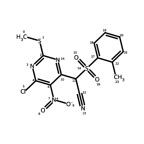 CSc1nc(Cl)c([N+](=O)[O-])c(C(C#N)S(=O)(=O)c2ccccc2C)n1